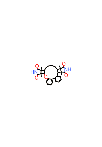 CC12C(=O)NC(=O)C1(C)C1Oc3ccccc3-c3ccccc3C3C(CCCCC12)C1(C)C(=O)NC(=O)C31C